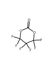 O=C1OC(F)(F)C(F)(F)C(F)(F)O1